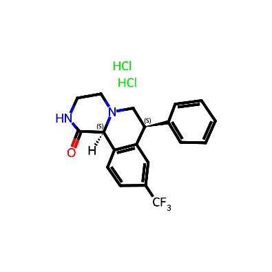 Cl.Cl.O=C1NCCN2C[C@@H](c3ccccc3)c3cc(C(F)(F)F)ccc3[C@@H]12